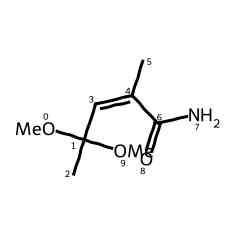 COC(C)(C=C(C)C(N)=O)OC